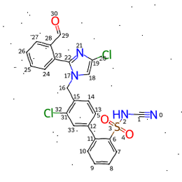 N#CNS(=O)(=O)c1ccccc1-c1ccc(Cn2cc(Cl)nc2-c2ccccc2C=O)c(Cl)c1